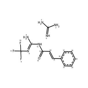 N=C(N)N.NC(=NC(F)(F)F)NC(=O)C=Cc1ccccc1